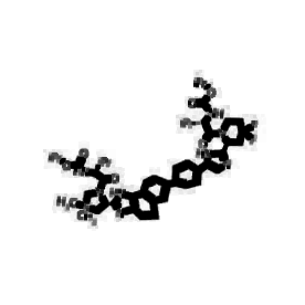 CC(C)OC(=O)N[C@H](C(=O)N1CCC(F)(F)C[C@H]1c1ncc(-c2ccc(-c3ccc4c(ccc5nc([C@@H]6C[Si](C)(C)CN6C(=O)[C@@H](NC(=O)OC(C)C)C(C)C)[nH]c54)c3)cc2)[nH]1)C(C)C